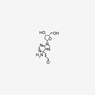 NC1(C=CC=O)N=CN=C2C1=NCN2[C@H]1C[C@H](O)[C@@H](CO)O1